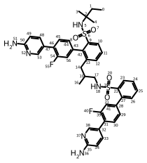 CCC(C)(C)NS(=O)(=O)c1cccc(CC(C)CNS(=O)(=O)c2ccccc2-c2ccc(-c3ccc(N)nc3)c(F)c2)c1-c1ccc(-c2ccc(N)nc2)c(F)c1